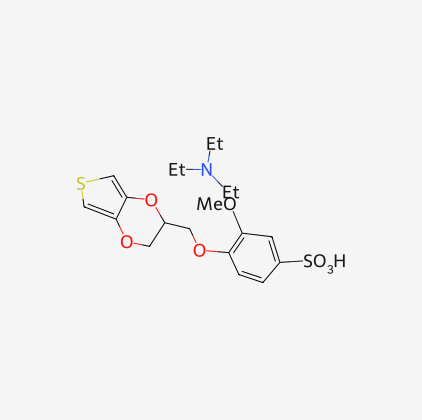 CCN(CC)CC.COc1cc(S(=O)(=O)O)ccc1OCC1COc2cscc2O1